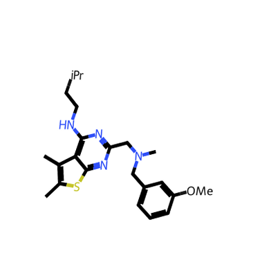 COc1cccc(CN(C)Cc2nc(NCCC(C)C)c3c(C)c(C)sc3n2)c1